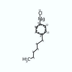 CCCCCCc1cc[c]([Mg][Cl])cc1